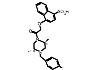 C[C@@H]1CN(C(=O)COc2ccc(S(=O)(=O)O)c3ccccc23)[C@@H](C)CN1Cc1ccc(F)cc1